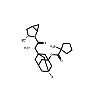 CNC1(C(=O)OC23CC4C[C@H](C2)CC([C@H](N)C(=O)N2C5CC5C[C@H]2C#N)(C4)C3)CCCC1